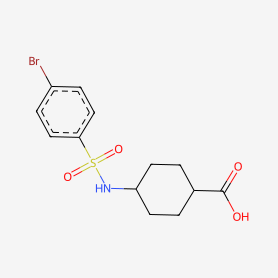 O=C(O)C1CCC(NS(=O)(=O)c2ccc(Br)cc2)CC1